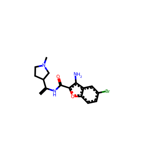 C=C(NC(=O)c1oc2ccc(Br)cc2c1N)C1CCN(C)C1